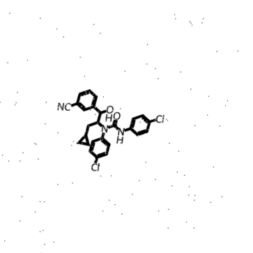 N#Cc1cccc(C(O)C(CC2CC2)N(C(=O)Nc2ccc(Cl)cc2)c2ccc(Cl)cc2)c1